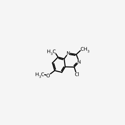 COc1cc(C)c2nc(C)nc(Cl)c2c1